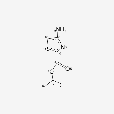 CC(C)OC(=O)c1nc(N)cs1